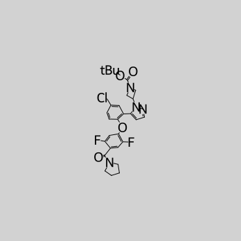 CC(C)(C)OC(=O)N1CC(n2nccc2-c2cc(Cl)ccc2Oc2cc(F)c(C(=O)N3CCCC3)cc2F)C1